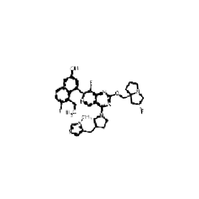 CCc1c(F)ccc2cc(O)cc(-c3ncc4c(N5CCC(Cc6cncn6C)C5)nc(OC[C@@]56CCCN5C[C@H](F)C6)nc4c3F)c12